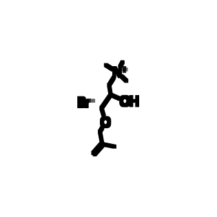 C=C(C)COCC(O)C[N+](C)(C)C.[Br-]